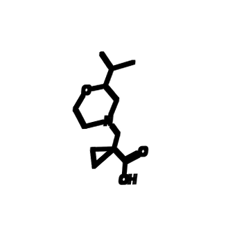 CC(C)C1CN(CC2(C(=O)O)CC2)CCO1